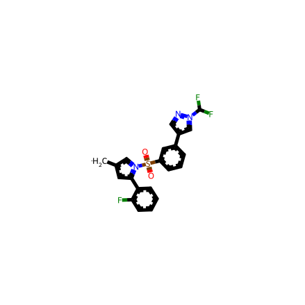 [CH2]c1cc(-c2ccccc2F)n(S(=O)(=O)c2cccc(-c3cnn(C(F)F)c3)c2)c1